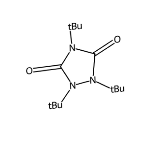 CC(C)(C)n1c(=O)n(C(C)(C)C)n(C(C)(C)C)c1=O